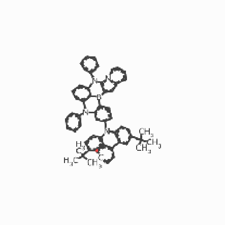 CC(C)(C)c1ccc(N(c2ccc3c(c2)N(c2ccccc2)c2cccc4c2B3c2cc3ccccn3c2N4c2ccccc2)c2ccc(C(C)(C)C)cc2-c2ccccc2)cc1